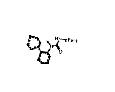 CCCCCNC(=O)N(C)c1ccccc1-c1ccccc1